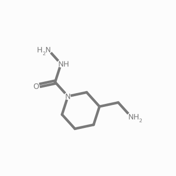 NCC1CCCN(C(=O)NN)C1